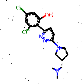 CN(C)C[C@H]1CCN(c2ccc(-c3c(O)cc(Cl)cc3Cl)nn2)C1